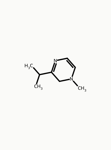 CC(C)C1=NC=CN(C)C1